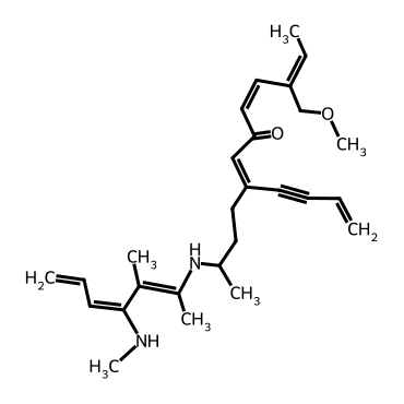 C=CC#C/C(=C\C(=O)/C=C\C(=C/C)COC)CCC(C)N/C(C)=C(C)/C(=C\C=C)NC